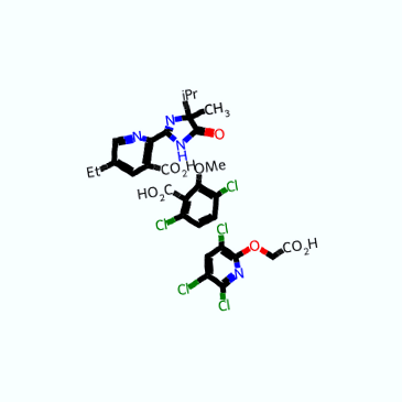 CCc1cnc(C2=NC(C)(C(C)C)C(=O)N2)c(C(=O)O)c1.COc1c(Cl)ccc(Cl)c1C(=O)O.O=C(O)COc1nc(Cl)c(Cl)cc1Cl